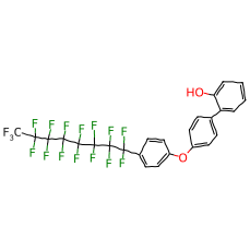 Oc1ccccc1-c1ccc(Oc2ccc(C(F)(F)C(F)(F)C(F)(F)C(F)(F)C(F)(F)C(F)(F)C(F)(F)C(F)(F)F)cc2)cc1